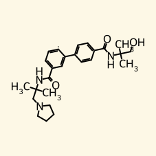 CC(C)(CO)NC(=O)c1ccc(-c2[c]ccc(C(=O)NC(C)(C)CN3CCCC3)c2)cc1